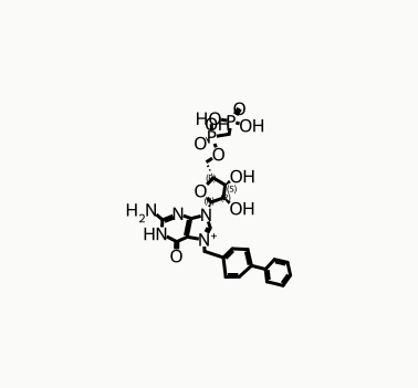 Nc1nc2c(c(=O)[nH]1)[n+](Cc1ccc(-c3ccccc3)cc1)cn2[C@@H]1O[C@H](COP(=O)(O)CP(=O)(O)O)[C@@H](O)[C@H]1O